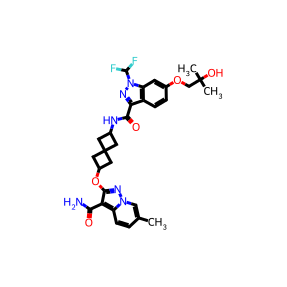 Cc1ccc2c(C(N)=O)c(OC3CC4(CC(NC(=O)c5nn(C(F)F)c6cc(OCC(C)(C)O)ccc56)C4)C3)nn2c1